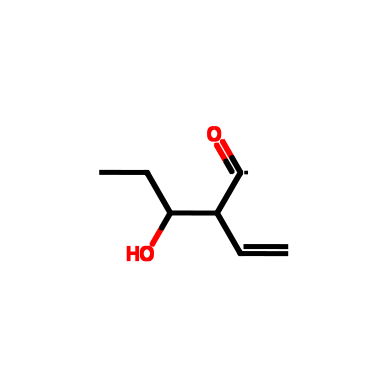 C=CC([C]=O)C(O)CC